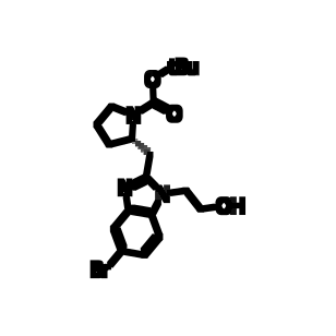 CC(C)(C)OC(=O)N1CCC[C@H]1Cc1nc2cc(Br)ccc2n1CCO